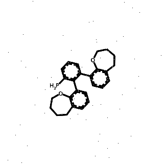 Pc1cccc(-c2cccc3c2OCCCC3)c1-c1cccc2c1OCCCC2